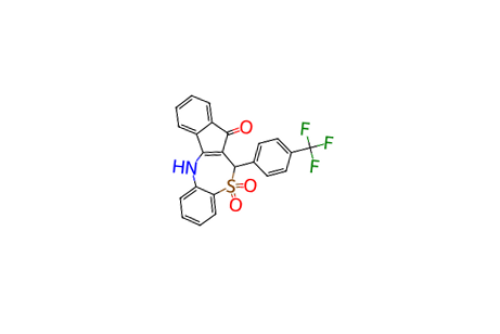 O=C1C2=C(Nc3ccccc3S(=O)(=O)C2c2ccc(C(F)(F)F)cc2)c2ccccc21